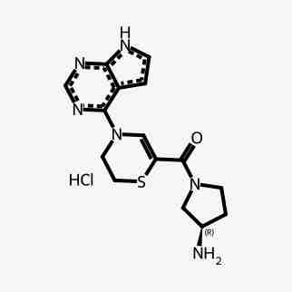 Cl.N[C@@H]1CCN(C(=O)C2=CN(c3ncnc4[nH]ccc34)CCS2)C1